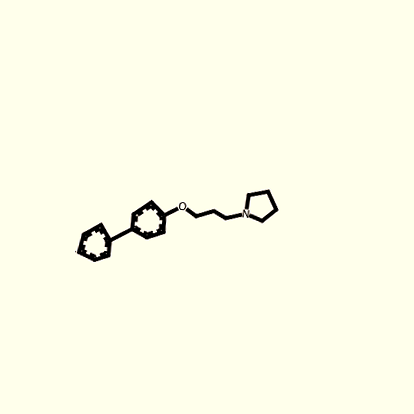 [c]1ccc(-c2ccc(OCCCN3CCCC3)cc2)cc1